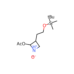 CC(=O)OC1C(CCO[Si](C)(C)C(C)(C)C)C[NH+]1[O-]